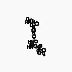 CO[C@@H](C(=O)N1Cc2[nH]nc(NC(=O)c3ccc(N4CCN(Cc5ccccc5N5CCC(=O)NC5=O)CC4)cc3)c2C1)c1ccccc1